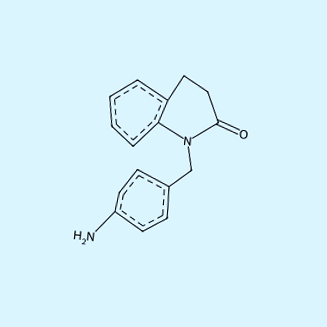 Nc1ccc(CN2C(=O)CCc3ccccc32)cc1